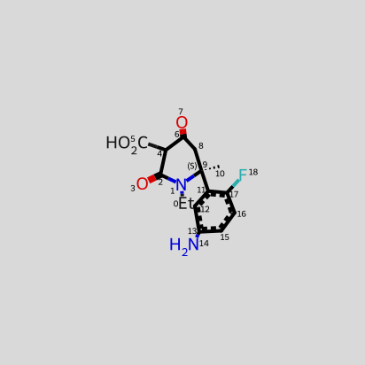 CCN1C(=O)C(C(=O)O)C(=O)C[C@@]1(C)c1cc(N)ccc1F